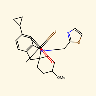 COC1CCC2(CC1)Cc1ccc(C3CC3)cc1C21NC(=S)N(Cc2nccs2)C1=O